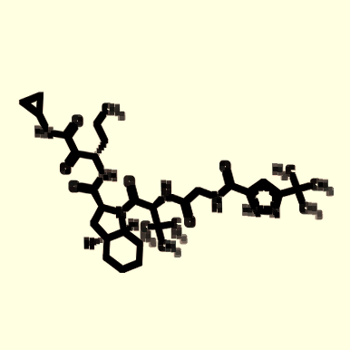 CCC[C@H](NC(=O)[C@@H]1C[C@@H]2CCCC[C@@H]2N1C(=O)[C@@H](NC(=O)CNC(=O)c1cc(C(C)(C)C)n[nH]1)C(C)(C)C)C(=O)C(=O)NC1CC1